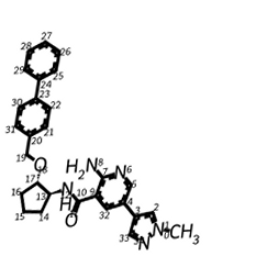 Cn1cc(-c2cnc(N)c(C(=O)N[C@H]3CCC[C@@H]3OCc3ccc(-c4ccccc4)cc3)c2)cn1